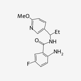 CCC(NC(=O)c1cc(F)ccc1N)c1ccc(OC)nc1